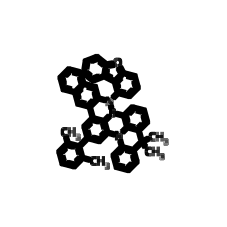 Cc1cccc(C)c1-c1cc2c3c(c1)N1c4ccccc4C(C)(C)c4cccc(c41)B3N(c1cccc3oc4ccccc4c13)c1cc3ccccc3cc1-2